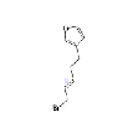 BrC/C=C/CCc1ccoc1